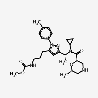 COC(=O)NCCCc1cc([C@@H](C)N(C(=O)[C@H]2CNC[C@@H](C)O2)C2CC2)nn1-c1ccc(C)cc1